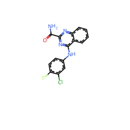 NC(=O)c1nc(Nc2ccc(F)c(Cl)c2)c2[c]cccc2n1